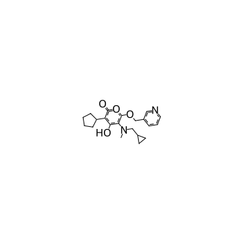 CN(CC1CC1)c1c(OCc2cccnc2)oc(=O)c(C2CCCC2)c1O